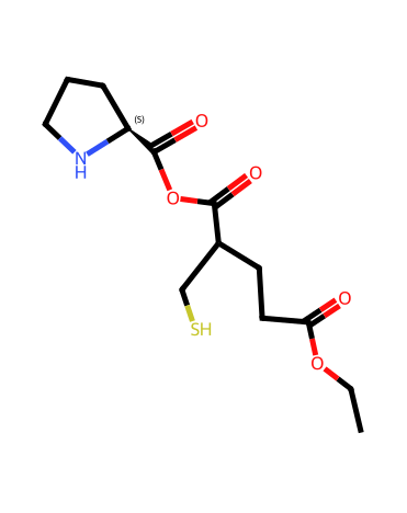 CCOC(=O)CCC(CS)C(=O)OC(=O)[C@@H]1CCCN1